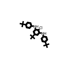 CC(C)(C)c1ccc(Nc2cc(C(C)(C)C)cc(Nc3ccc(C(C)(C)C)cc3)c2Cl)cc1